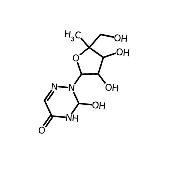 CC1(CO)OC(N2N=CC(=O)NC2O)C(O)C1O